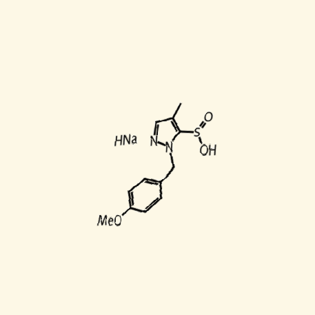 COc1ccc(Cn2ncc(C)c2S(=O)O)cc1.[NaH]